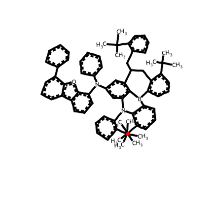 CC(C)(C)c1ccccc1CC1Cc2c(cccc2C(C)(C)C)B2c3cccc(C(C)(C)C)c3N(c3ccccc3C(C)(C)C)c3cc(N(c4ccccc4)c4cccc5c4oc4c(-c6ccccc6)cccc45)cc1c32